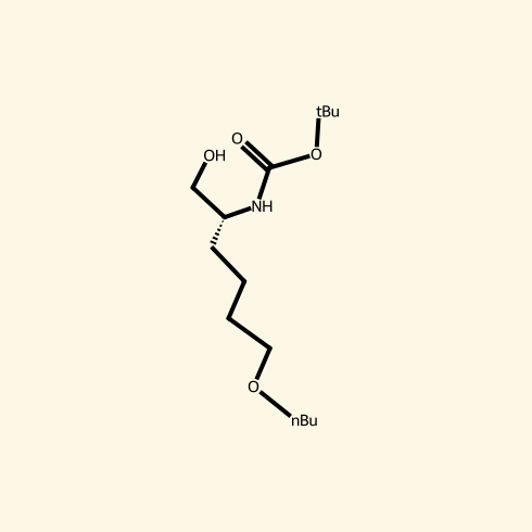 CCCCOCCCC[C@H](CO)NC(=O)OC(C)(C)C